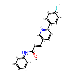 O=C(C=Cc1ccc(-c2ccc(F)cc2)nc1)Nc1ccccc1